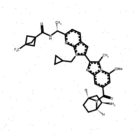 COc1cc(C(=O)N2[C@H]3CC[C@@H]2[C@H](N)C3)cc2nc(-c3cc4ccc([C@@H](C)NC(=O)C56CC(C(F)(F)F)(C5)C6)nc4n3CC3CC3)c(C)n12